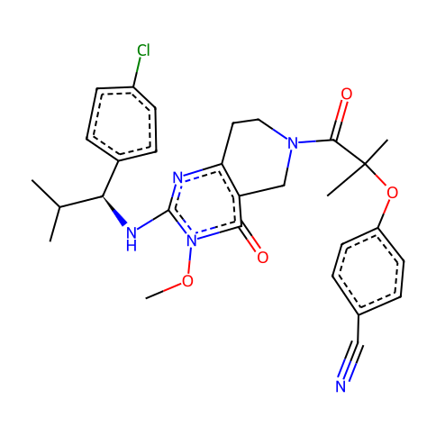 COn1c(N[C@H](c2ccc(Cl)cc2)C(C)C)nc2c(c1=O)CN(C(=O)C(C)(C)Oc1ccc(C#N)cc1)CC2